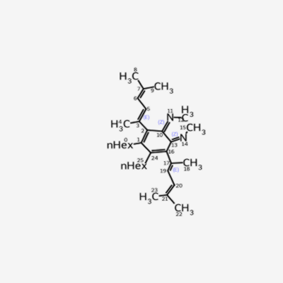 CCCCCCC1=C(/C(C)=C/C=C(C)C)C(=N/C)/C(=N\C)C(/C(C)=C/C=C(C)C)=C1CCCCCC